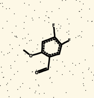 COc1cc(F)c(F)cc1C=O